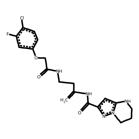 C=C(CCNC(=O)COc1ccc(Cl)c(F)c1)NC(=O)c1cc2n(n1)CCCN2